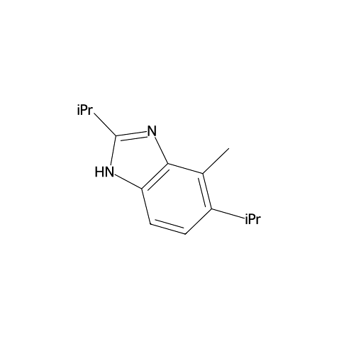 Cc1c(C(C)C)ccc2[nH]c(C(C)C)nc12